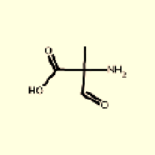 CC(N)(C=O)C(=O)O